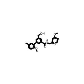 COc1ccnc(CNC(=O)c2cc(CO)cc(-c3cc(C)ccc3OC)c2)c1